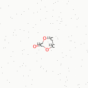 O=[13C]1O[13CH2][13CH2]O1